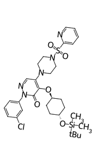 CC(C)(C)[Si](C)(C)O[C@H]1CC[C@H](Oc2c(N3CCN(S(=O)(=O)c4ccccn4)CC3)cnn(-c3cccc(Cl)c3)c2=O)CC1